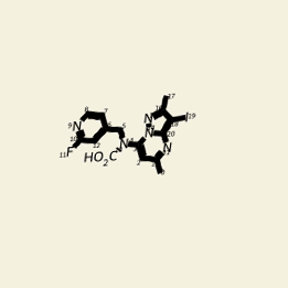 Cc1cc(N(Cc2ccnc(F)c2)C(=O)O)n2nc(C)c(I)c2n1